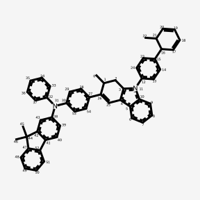 CC1Cc2c(c3ccccc3n2-c2ccc(C3C=CC=CC3C)cc2)C=C1c1ccc(N(c2ccccc2)c2ccc3c(c2)C(C)(C)c2ccccc2-3)cc1